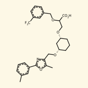 Cc1cccc(-c2nc(CO[C@H]3CCC[C@@H](OCC(OCc4cccc(C(F)(F)F)c4)C(=O)O)C3)c(C)o2)c1